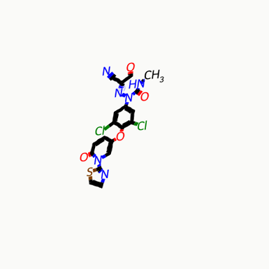 CNC(=O)N(/N=C(/C#N)C=O)c1cc(Cl)c(Oc2ccc(=O)n(-c3nccs3)c2)c(Cl)c1